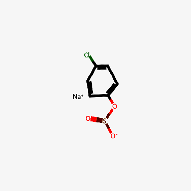 O=S([O-])Oc1ccc(Cl)cc1.[Na+]